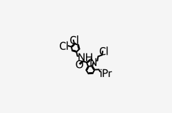 CC(C)Cc1cccc2c(C(=O)NCc3ccc(Cl)c(Cl)c3)cn(CCCCl)c12